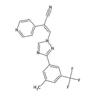 Cc1cc(-c2ncn(/C=C(/C#N)c3ccncc3)n2)cc(C(F)(F)F)c1